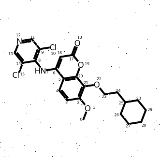 COc1ccc2c(Nc3c(Cl)cncc3Cl)cc(=O)oc2c1OCCC1CCCCC1